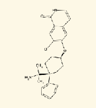 CC(C)(N)[C@]1(c2ccccc2)CC[C@H](Oc2cc3cc[nH]c(=O)c3cc2Cl)CC1